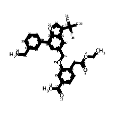 CCOC(=O)Cc1ccc(C(C)=O)cc1OCc1cc(-c2cccc(CN)c2)c2occ(C(F)(F)F)c2c1